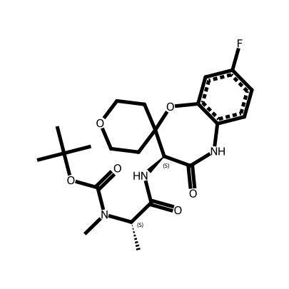 C[C@@H](C(=O)N[C@@H]1C(=O)Nc2ccc(F)cc2OC12CCOCC2)N(C)C(=O)OC(C)(C)C